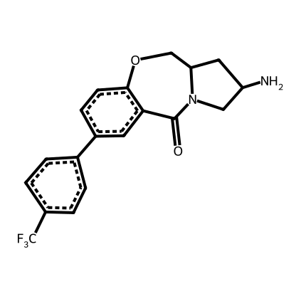 NC1CC2COc3ccc(-c4ccc(C(F)(F)F)cc4)cc3C(=O)N2C1